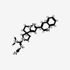 CN(C)C(=NC#N)N1CCC2(CCn3nc(-c4cnc5ccccc5c4)cc32)C1